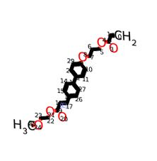 C=CC(=O)OCCCOc1ccc(-c2ccc(/C=C/C(=O)OCCOC)cc2)cc1